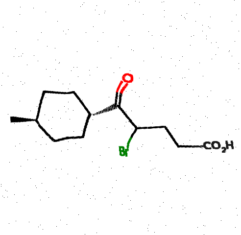 C[C@H]1CC[C@H](C(=O)C(Br)CCC(=O)O)CC1